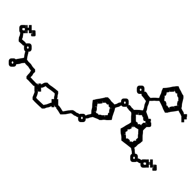 CCOC(=O)CCN1CCN(CCOc2ccc(Oc3c(C(=O)c4cccc(F)c4)sc4cc(OC)ccc34)cc2)CC1